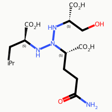 CC(C)C[C@H](NN(N[C@@H](CO)C(=O)O)[C@@H](CCC(N)=O)C(=O)O)C(=O)O